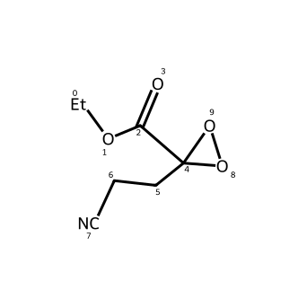 CCOC(=O)C1(CCC#N)OO1